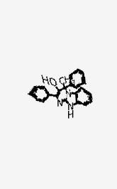 CC1(c2ccccc2)C(O)=C(c2ccccc2)N=C2Nc3ccccc3N21